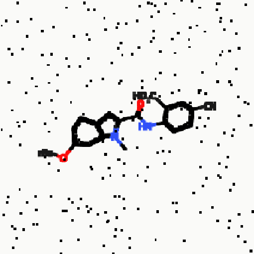 CCCCOc1ccc2cc(C(=O)Nc3ccc(C#N)cc3C(=O)O)n(C)c2c1